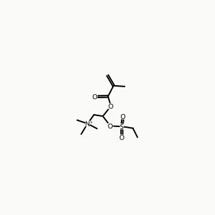 C=C(C)C(=O)OC(C[N+](C)(C)C)OS(=O)(=O)CC